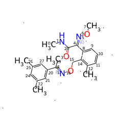 CNC(=O)/C(=N/OC)c1cccc(C)c1CO/N=C(\C)c1cc(C)cc(C)c1